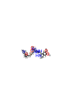 COc1cc2c(cc1OC)C(CCN/C(=C/[N+](=O)[O-])NCCSCc1ccc(CN(C)C)o1)NCC2